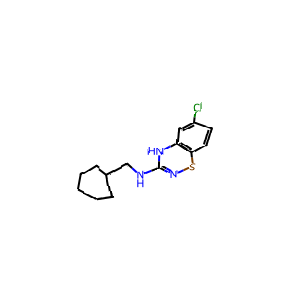 Clc1ccc2c(c1)NC(NCC1CCCCC1)=NS2